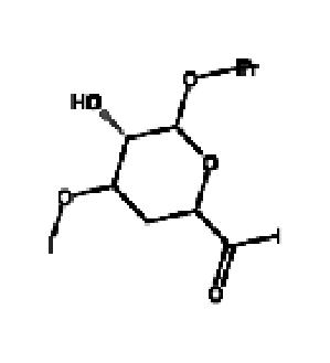 CC(C)OC1OC(C(=O)I)CC(OI)[C@@H]1O